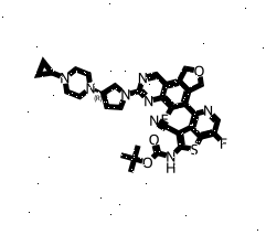 CC(C)(C)OC(=O)Nc1sc2c(F)cnc(-c3c4c(c5cnc(N6CC[C@@H](N7CCN(C8CC8)CC7)C6)nc5c3F)COC4)c2c1C#N